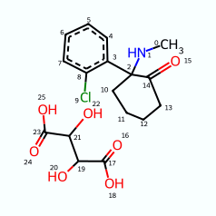 CNC1(c2ccccc2Cl)CCCCC1=O.O=C(O)C(O)C(O)C(=O)O